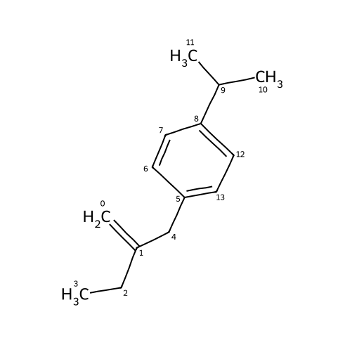 C=C(CC)Cc1ccc(C(C)C)cc1